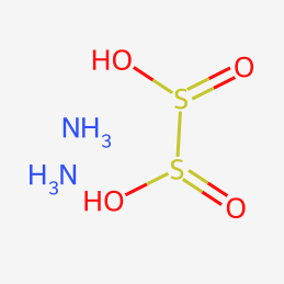 N.N.O=S(O)S(=O)O